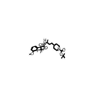 COc1cccc([C@@](O)(C(=O)NC(C)CCC2CCN(C(=O)OC(C)(C)C)CC2)C(F)(F)F)c1